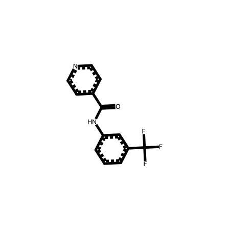 O=C(Nc1[c]ccc(C(F)(F)F)c1)c1ccncc1